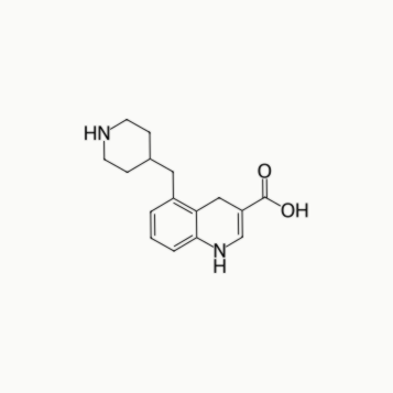 O=C(O)C1=CNc2cccc(CC3CCNCC3)c2C1